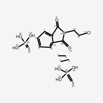 CC.CC.O=C1c2ccccc2C(=O)N1CCCl.OP(O)(O)=S.OP(O)(O)=S